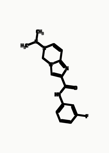 CN(C)N1C=CC2=NC(C(=O)Nc3cccc(F)c3)=C[N+]2C1